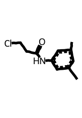 Cc1cc(C)cc(NC(=O)CCCl)c1